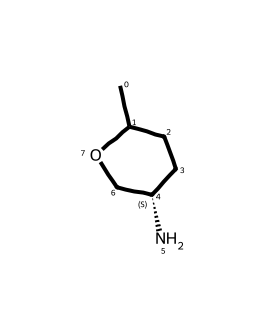 CC1CC[C@H](N)CO1